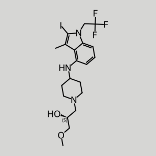 COC[C@@H](O)CN1CCC(Nc2cccc3c2c(C)c(I)n3CC(F)(F)F)CC1